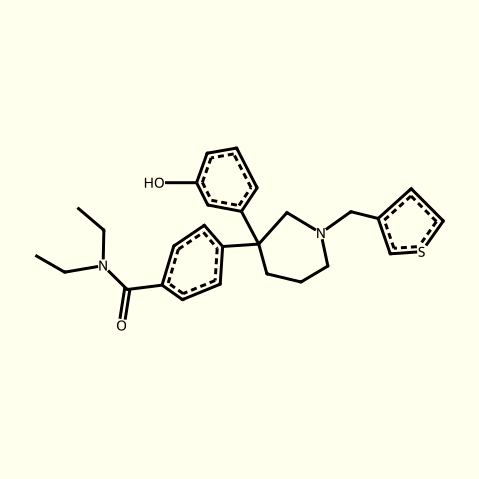 CCN(CC)C(=O)c1ccc(C2(c3cccc(O)c3)CCCN(Cc3ccsc3)C2)cc1